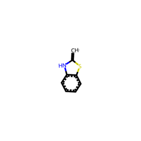 [CH]=C1Nc2ccccc2S1